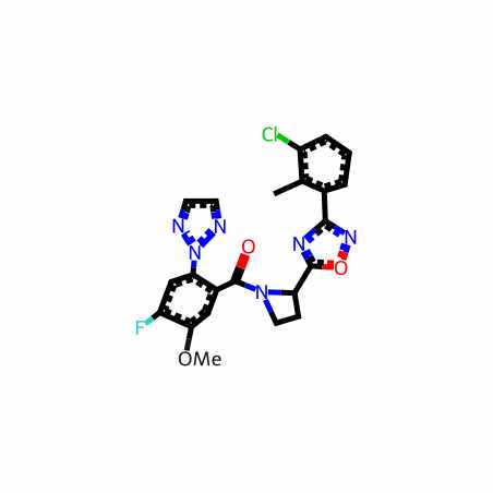 COc1cc(C(=O)N2CCC2c2nc(-c3cccc(Cl)c3C)no2)c(-n2nccn2)cc1F